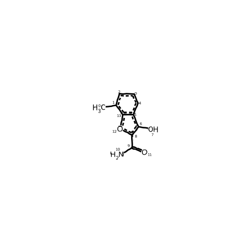 Cc1cccc2c(O)c(C(N)=O)oc12